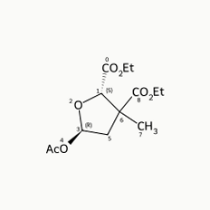 CCOC(=O)[C@H]1O[C@H](OC(C)=O)CC1(C)C(=O)OCC